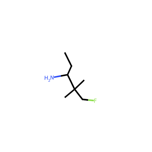 CCC(N)C(C)(C)CF